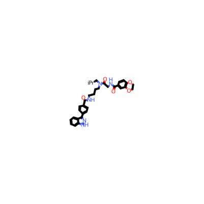 CC(C)CN(CCCCNC(=O)c1ccc(-c2n[nH]c3ccccc23)cc1)C(=O)CNC(=O)c1ccc2c(c1)OCCO2